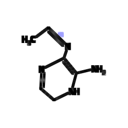 C/C=N\C1=C(N)NCC=N1